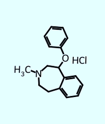 CN1CCc2ccccc2C(Oc2ccccc2)C1.Cl